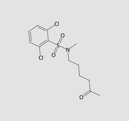 CC(=O)CCCCN(C)S(=O)(=O)c1c(Cl)cccc1Cl